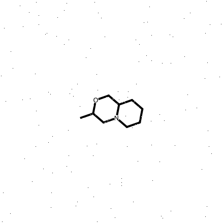 CC1CN2CCCCC2CO1